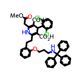 COC(=O)CC1=C(C(=O)O)C(c2c(Cl)cccc2Cl)C(C(=O)O)=C(CCc2ccccc2OCCCNC(c2ccccc2)(c2ccccc2)c2ccccc2)N1